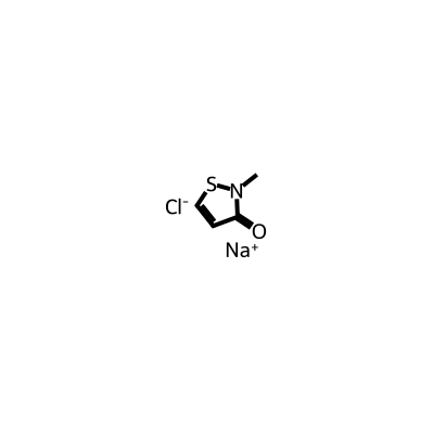 Cn1sccc1=O.[Cl-].[Na+]